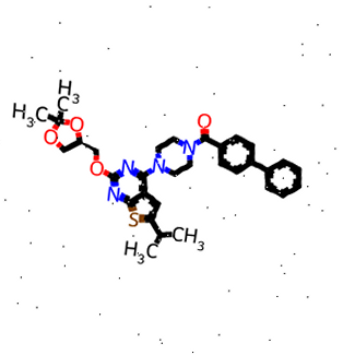 CC(C)c1cc2c(N3CCN(C(=O)c4ccc(-c5ccccc5)cc4)CC3)nc(OC[C@H]3COC(C)(C)O3)nc2s1